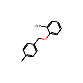 Cc1ccc(COc2ccccc2C(=O)O)cc1